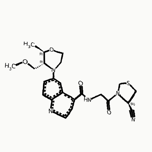 COC[C@@H]1[C@@H](C)OCCN1c1ccc2nccc(C(=O)NCC(=O)N3CSC[C@H]3C#N)c2c1